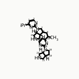 CC(C)c1ccnc(N2CC(CC(C)c3ccnc(N4CC[C@@H]5CNC[C@H]54)n3)[C@@H]3CNC[C@@H]32)n1